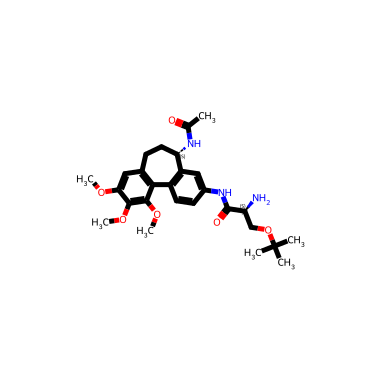 COc1cc2c(c(OC)c1OC)-c1ccc(NC(=O)[C@@H](N)COC(C)(C)C)cc1[C@@H](NC(C)=O)CC2